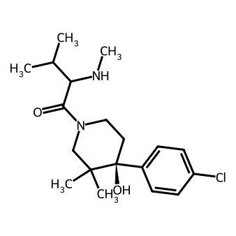 CNC(C(=O)N1CC[C@](O)(c2ccc(Cl)cc2)C(C)(C)C1)C(C)C